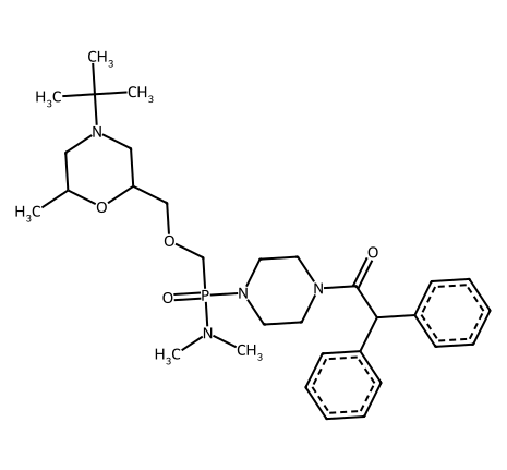 CC1CN(C(C)(C)C)CC(COCP(=O)(N(C)C)N2CCN(C(=O)C(c3ccccc3)c3ccccc3)CC2)O1